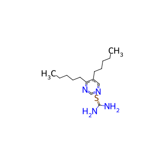 CCCCCc1cncnc1CCCCC.NC(N)=S